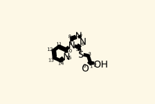 O=C(O)CSc1nncn1-c1ccccn1